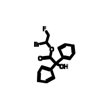 O=C(OC(Br)CF)C(O)(c1ccccc1)c1ccccc1